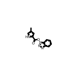 Cc1c[nH]c(C(=O)On2nnc3ccccc32)c1